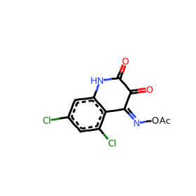 CC(=O)ON=C1C(=O)C(=O)Nc2cc(Cl)cc(Cl)c21